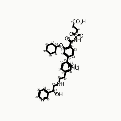 Cl.Cl.O=C(O)CCS(=O)(=O)NC(=O)c1ccc(-c2ccc(CCNC[C@@H](O)c3cccnc3)cc2)cc1OC1CCCCC1